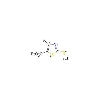 CCOC(=O)c1sc(SCC)nc1C